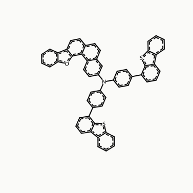 c1ccc2c(c1)oc1c2ccc2ccc3cc(N(c4ccc(-c5cccc6c5sc5ccccc56)cc4)c4ccc(-c5cccc6c5sc5ccccc56)cc4)ccc3c21